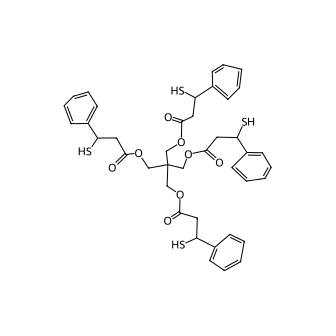 O=C(CC(S)c1ccccc1)OCC(COC(=O)CC(S)c1ccccc1)(COC(=O)CC(S)c1ccccc1)COC(=O)CC(S)c1ccccc1